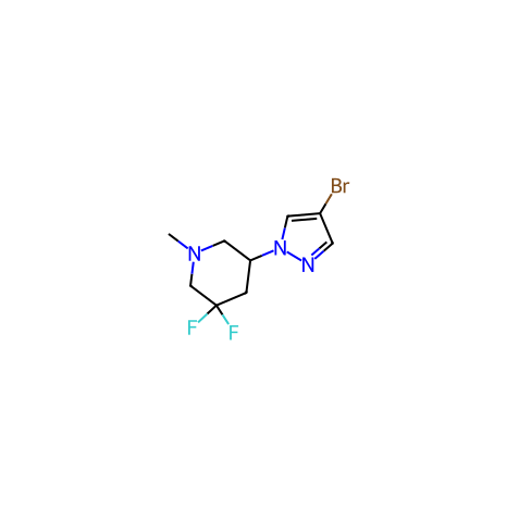 CN1CC(n2cc(Br)cn2)CC(F)(F)C1